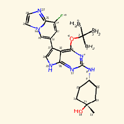 BC(B)(B)Oc1nc(N[C@H]2CC[C@@](C)(O)CC2)nc2[nH]cc(-c3cc(F)c4nccn4c3)c12